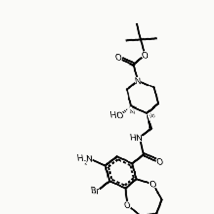 CC(C)(C)OC(=O)N1CC[C@@H](CNC(=O)c2cc(N)c(Br)c3c2OCCCO3)[C@H](O)C1